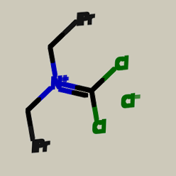 CC(C)C[N+](CC(C)C)=C(Cl)Cl.[Cl-]